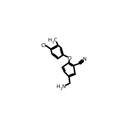 Cc1cc(Oc2ccc(CN)cc2C#N)ccc1Cl